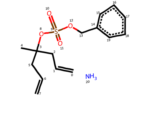 C=CCC(C)(CC=C)OS(=O)(=O)OCc1ccccc1.N